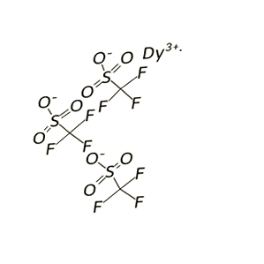 O=S(=O)([O-])C(F)(F)F.O=S(=O)([O-])C(F)(F)F.O=S(=O)([O-])C(F)(F)F.[Dy+3]